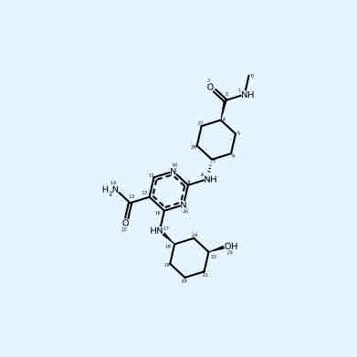 CNC(=O)[C@H]1CC[C@H](Nc2ncc(C(N)=O)c(N[C@@H]3CCC[C@H](O)C3)n2)CC1